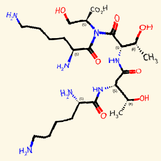 C[C@@H](O)[C@H](NC(=O)[C@@H](N)CCCCN)C(=O)N[C@H](C(=O)N(C(=O)[C@@H](N)CCCCN)[C@@H](CO)C(=O)O)[C@@H](C)O